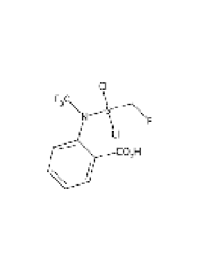 O=C(O)c1ccccc1N(C(F)(F)F)S(Cl)(Cl)CF